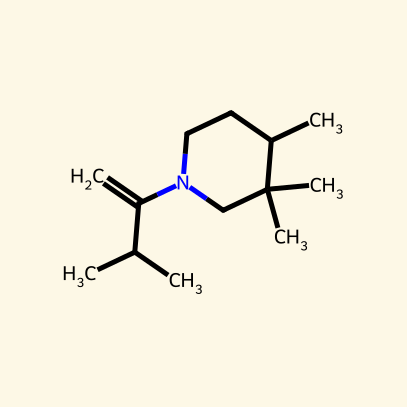 C=C(C(C)C)N1CCC(C)C(C)(C)C1